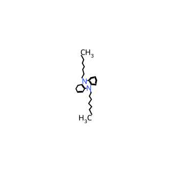 CCCCCCCCN1C2=C(CCC=C2)N(CCCCCCCC)c2ccccc21